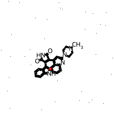 CN1CCN(c2cc(C3=C(c4c[nH]c5ccccc45)C(=O)NC3=O)c3ccccc3n2)CC1